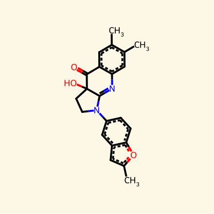 Cc1cc2cc(N3CCC4(O)C(=O)c5cc(C)c(C)cc5N=C34)ccc2o1